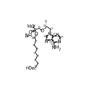 CCCCCCCCCCCCCCCCCCOP(=O)(O)CO[C@H](C)Cn1cnc2c(N)ncnc21.N